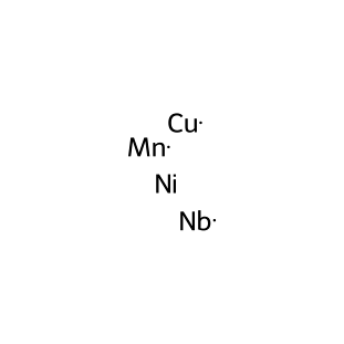 [Cu].[Mn].[Nb].[Ni]